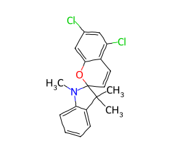 CN1c2ccccc2C(C)(C)C12C=Cc1c(Cl)cc(Cl)cc1O2